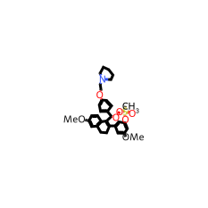 COc1cccc(C2=C(C(OOS(C)(=O)=O)c3ccc(OCCN4CCCCC4)cc3)c3ccc(OC)cc3CC2)c1